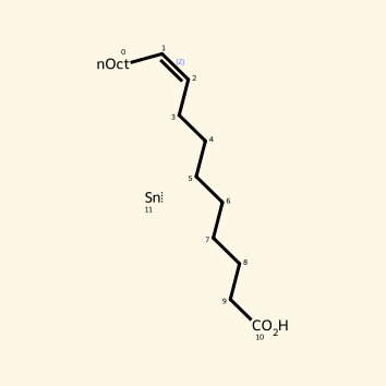 CCCCCCCC/C=C\CCCCCCCC(=O)O.[Sn]